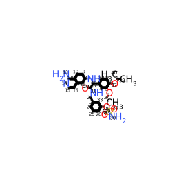 CCOc1cc([C@@H](Nc2ccc3c(N)nccc3c2)C(=O)NCc2cccc(OS(N)(=O)=O)c2)ccc1OC(C)C